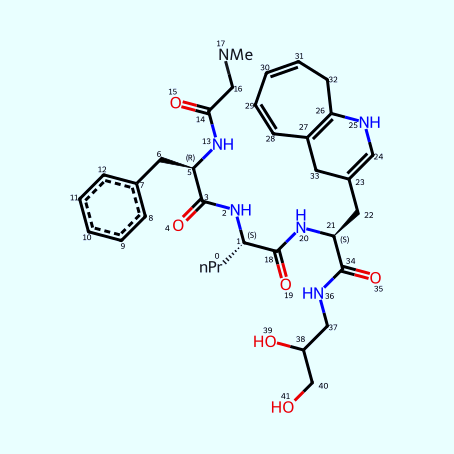 CCC[C@H](NC(=O)[C@@H](Cc1ccccc1)NC(=O)CNC)C(=O)N[C@@H](CC1=CNC2=C(C=CC=CC2)C1)C(=O)NCC(O)CO